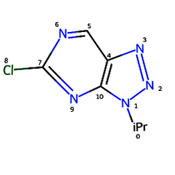 CC(C)n1nnc2cnc(Cl)nc21